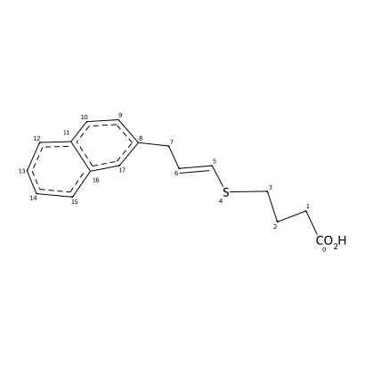 O=C(O)CCCSC=CCc1ccc2ccccc2c1